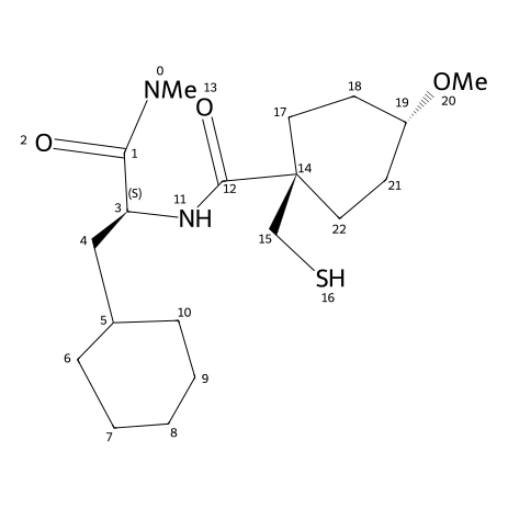 CNC(=O)[C@H](CC1CCCCC1)NC(=O)[C@]1(CS)CC[C@H](OC)CC1